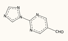 O=Cc1cnc(-n2cncn2)nc1